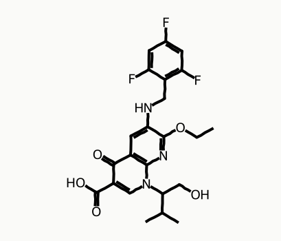 CCOc1nc2c(cc1NCc1c(F)cc(F)cc1F)c(=O)c(C(=O)O)cn2C(CO)C(C)C